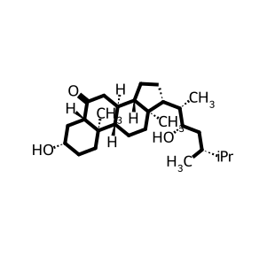 CC(C)[C@H](C)C[C@H](O)[C@@H](C)[C@H]1CC[C@H]2[C@@H]3CC(=O)[C@H]4C[C@@H](O)CC[C@]4(C)[C@H]3CC[C@]12C